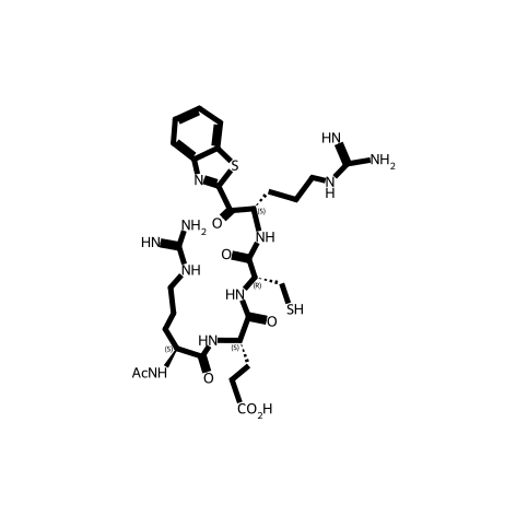 CC(=O)N[C@@H](CCCNC(=N)N)C(=O)N[C@@H](CCC(=O)O)C(=O)N[C@@H](CS)C(=O)N[C@@H](CCCNC(=N)N)C(=O)c1nc2ccccc2s1